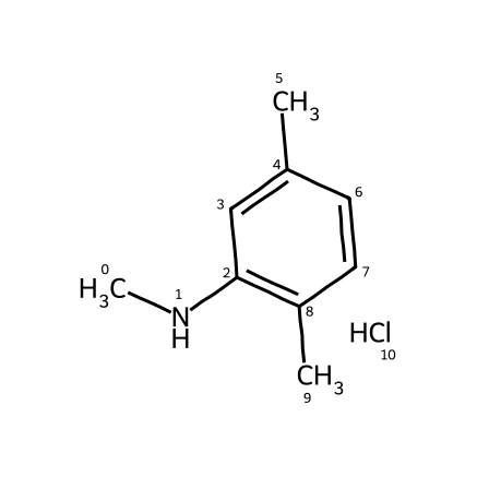 CNc1cc(C)ccc1C.Cl